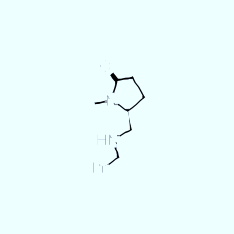 CC(C)CNC[C@@H]1CCC(=O)N1C